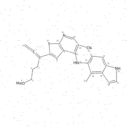 C=C=C(CCCOC)c1cc2c(Nc3ccc4[nH]ccc4c3C)c(C#N)cnc2s1